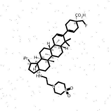 CC(C)[C@@H]1CC[C@]2(NCCN3CCS(=O)(=O)CC3)CC[C@]3(C)[C@H](CC[C@@H]4[C@@]5(C)CC=C(C6=CC[C@@](CF)(C(=O)O)CC6)C(C)(C)[C@@H]5CC[C@]43C)[C@@H]12